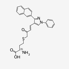 N[C@@H](CCSCC(=O)C=Cc1cn(-c2ccccc2)nc1-c1ccc2ccccc2c1)C(=O)O